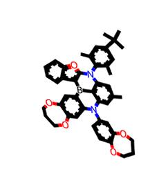 Cc1cc2c3c(c1)N(c1c(C)cc(C(C)(C)C)cc1C)c1oc4ccccc4c1B3c1cc3c(cc1N2c1ccc2c(c1)OCCCO2)OCCCO3